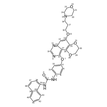 O=C(Nc1ccc(Oc2ncnc3cc(OCCCN4CCOCC4)c4c(c23)OCCO4)cc1)Nc1cccc2ccccc12